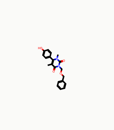 Cc1c(-c2ccc(O)cc2)n(C)c(=O)n(COCc2ccccc2)c1=O